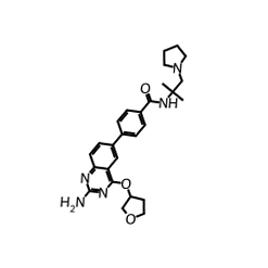 CC(C)(CN1CCCC1)NC(=O)c1ccc(-c2ccc3nc(N)nc(OC4CCOC4)c3c2)cc1